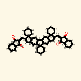 O=C1C(=CC2=Cc3cc4c(cc3C23CCCCC3)-c2cc3c(cc2C42CCCCC2)C=C(C=C2C(=O)c4ccccc4C2=O)C32CCCCC2)C(=O)c2ccccc21